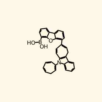 OB(O)c1cccc2c1oc1c(C3=CCc4c(n(C5=CCC=CC=C5)c5ccccc45)C=C3)cccc12